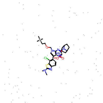 CN(C)c1nc2ccc(-c3cn(COCC[Si](C)(C)C)c4nc(N5C6CCC5CC(NC(=O)O)C6)cnc34)c(Cl)c2s1